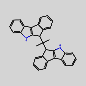 CC(C)(C1c2ccccc2-c2c1[nH]c1ccccc21)C1c2ccccc2-c2c1[nH]c1ccccc21